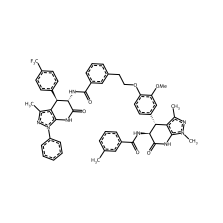 COc1cc([C@@H]2c3c(C)nn(C)c3NC(=O)[C@H]2NC(=O)c2cccc(C)c2)ccc1OCCc1cccc(C(=O)N[C@@H]2C(=O)Nc3c(c(C)nn3-c3ccccc3)[C@H]2c2ccc(C(F)(F)F)cc2)c1